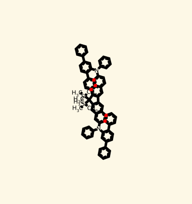 C[Si](C)(C)C1([Si](C)(C)C)c2cc3cc(N(c4ccccc4)c4cc(-c5ccccc5)ccc4-c4ccccc4)ccc3cc2-c2cc3ccc(N(c4ccccc4)c4cc(-c5ccccc5)ccc4-c4ccccc4)cc3cc21